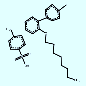 CCCCCCCCOc1ccccc1-c1ccc(I)cc1.Cc1ccc(S(=O)(=O)O)cc1